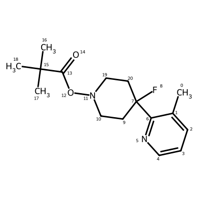 Cc1cccnc1C1(F)CCN(OC(=O)C(C)(C)C)CC1